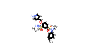 CCc1ccc(N(CC(C)C)S(=O)(=O)c2ccc(OCC3CCNCC3)c(S(C)(=N)=O)c2)cc1